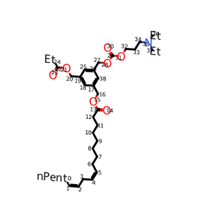 CCCCC/C=C\C/C=C\CCCCCCCC(=O)OCc1cc(COC(=O)CC)cc(COC(=O)OCCCN(CC)CC)c1